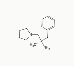 C[C@@](N)(Cc1ccccc1)CN1CCCC1